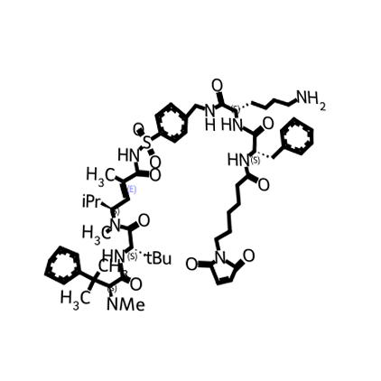 CN[C@H](C(=O)N[C@H](C(=O)N(C)[C@H](/C=C(\C)C(=O)NS(=O)(=O)c1ccc(CNC(=O)[C@H](CCCCN)NC(=O)[C@H](Cc2ccccc2)NC(=O)CCCCCN2C(=O)C=CC2=O)cc1)C(C)C)C(C)(C)C)C(C)(C)c1ccccc1